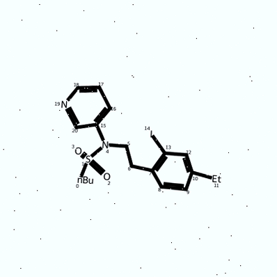 CCCCS(=O)(=O)N(CCc1ccc(CC)cc1I)c1cccnc1